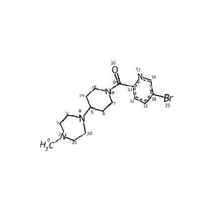 CN1CCN(C2CCN(C(=O)c3ccc(Br)cn3)CC2)CC1